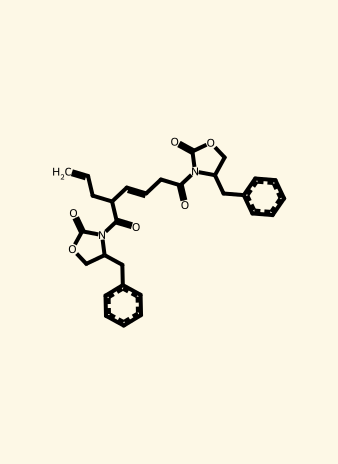 C=CCC(C=CCC(=O)N1C(=O)OCC1Cc1ccccc1)C(=O)N1C(=O)OCC1Cc1ccccc1